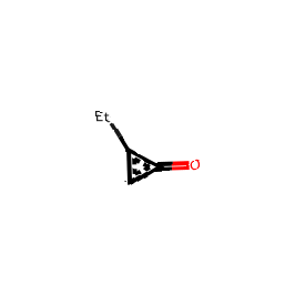 CCc1[c]c1=O